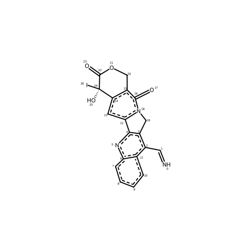 N=Cc1c2c(nc3ccccc13)-c1cc3c(c(=O)n1C2)COC(=O)[C@]3(O)I